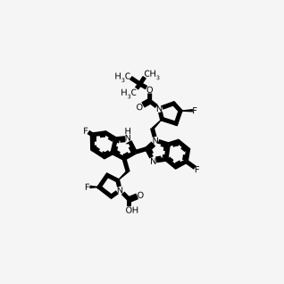 CC(C)(C)OC(=O)N1C[C@@H](F)C[C@H]1Cn1c(-c2[nH]c3cc(F)ccc3c2C[C@@H]2C[C@H](F)CN2C(=O)O)nc2cc(F)ccc21